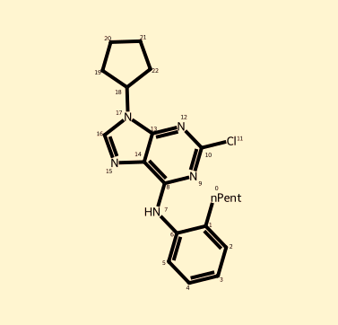 CCCCCc1ccccc1Nc1nc(Cl)nc2c1ncn2C1CCCC1